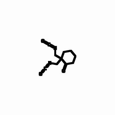 O=C=NCC1(CN=C=O)CCCCC1=O